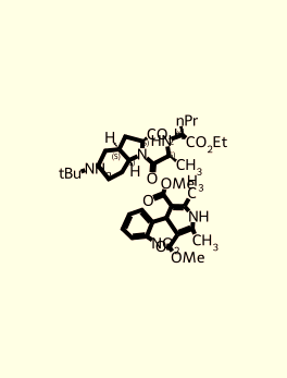 CC(C)(C)N.CCC[C@H](N[C@@H](C)C(=O)N1[C@H](C(=O)O)C[C@@H]2CCCC[C@@H]21)C(=O)OCC.COC(=O)C1=C(C)NC(C)=C(C(=O)OC)C1c1ccccc1[N+](=O)[O-]